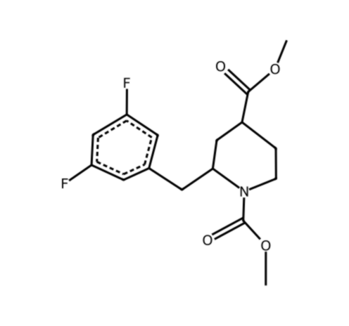 COC(=O)C1CCN(C(=O)OC)C(Cc2cc(F)cc(F)c2)C1